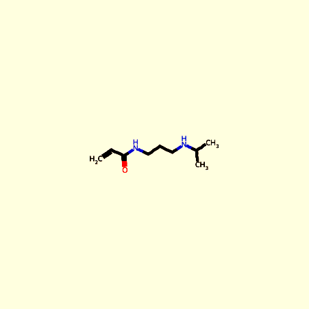 C=CC(=O)NCCCNC(C)C